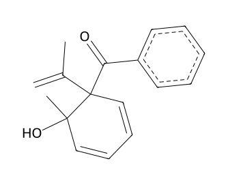 C=C(C)C1(C(=O)c2ccccc2)C=CC=CC1(C)O